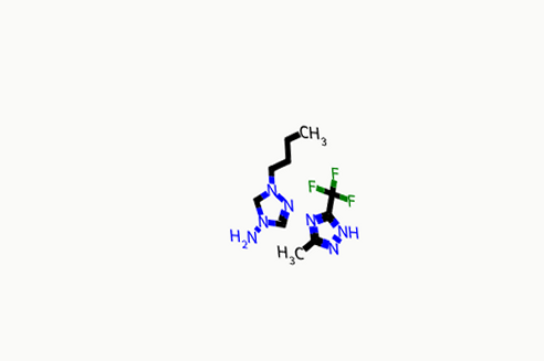 CCCCN1CN(N)C=N1.Cc1n[nH]c(C(F)(F)F)n1